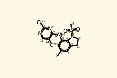 Cc1cc2c(c(Nc3nc(Cl)ncc3Cl)c1)N(S(C)(=O)=O)CC2